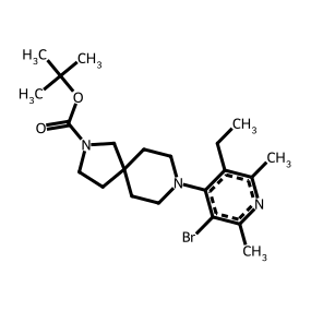 CCc1c(C)nc(C)c(Br)c1N1CCC2(CCN(C(=O)OC(C)(C)C)C2)CC1